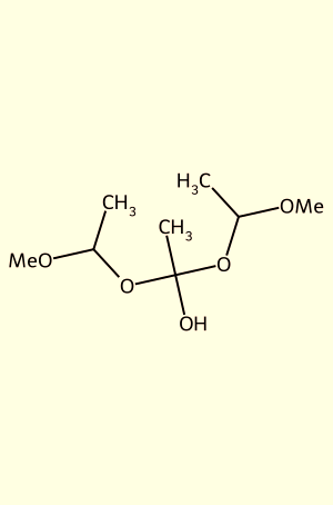 COC(C)OC(C)(O)OC(C)OC